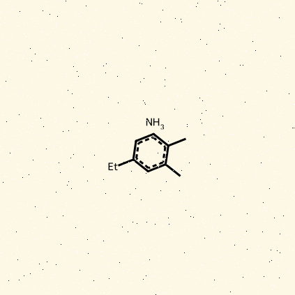 CCc1ccc(C)c(C)c1.N